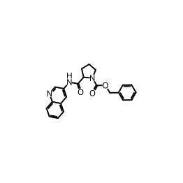 O=C(Nc1cnc2ccccc2c1)C1CCCN1C(=O)OCc1ccccc1